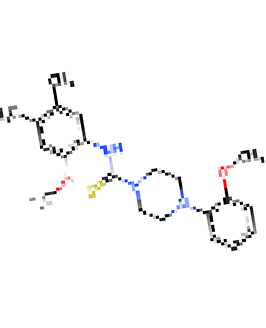 COc1cc(C)c(C)cc1NC(=S)N1CCN(c2ccccc2OC)CC1